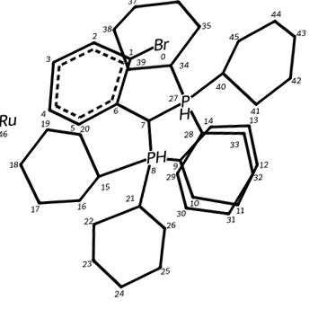 Brc1ccccc1C([PH](C1CCCCC1)(C1CCCCC1)C1CCCCC1)[PH](C1CCCCC1)(C1CCCCC1)C1CCCCC1.[Ru]